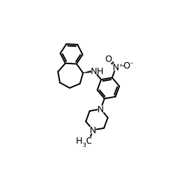 CN1CCN(c2ccc([N+](=O)[O-])c(N[C@H]3CCCCc4ccccc43)c2)CC1